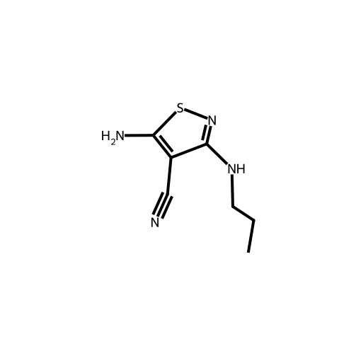 CCCNc1nsc(N)c1C#N